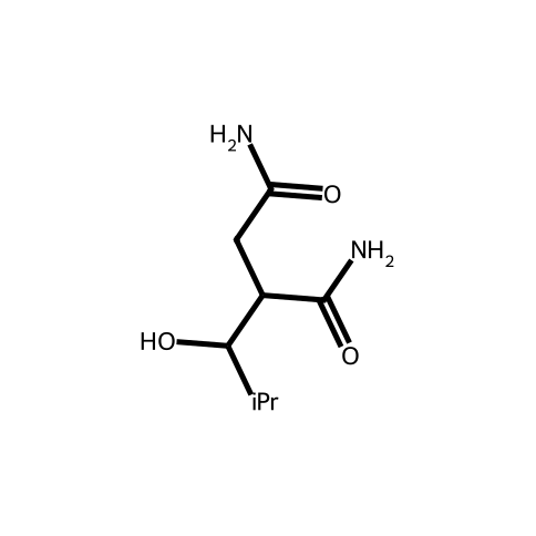 CC(C)C(O)C(CC(N)=O)C(N)=O